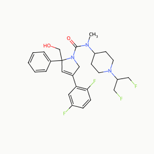 CN(C(=O)N1CC(c2cc(F)ccc2F)=CC1(CO)c1ccccc1)C1CCN(C(CF)CF)CC1